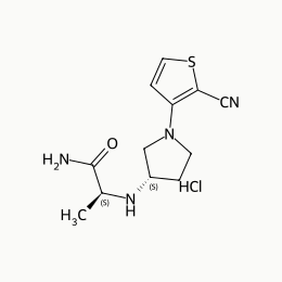 C[C@H](N[C@H]1CCN(c2ccsc2C#N)C1)C(N)=O.Cl